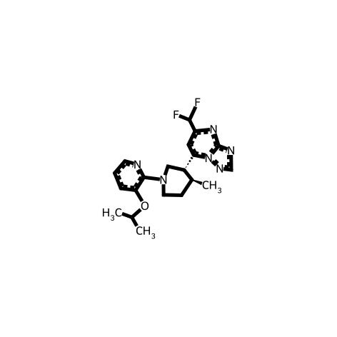 CC(C)Oc1cccnc1N1CC[C@H](C)[C@@H](c2cc(C(F)F)nc3ncnn23)C1